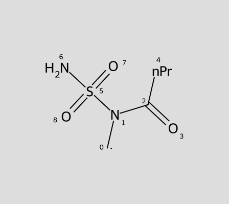 [CH2]N(C(=O)CCC)S(N)(=O)=O